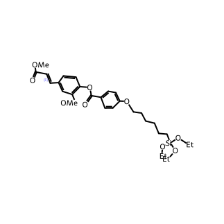 CCO[Si](CCCCCCOc1ccc(C(=O)Oc2ccc(/C=C/C(=O)OC)cc2OC)cc1)(OCC)OCC